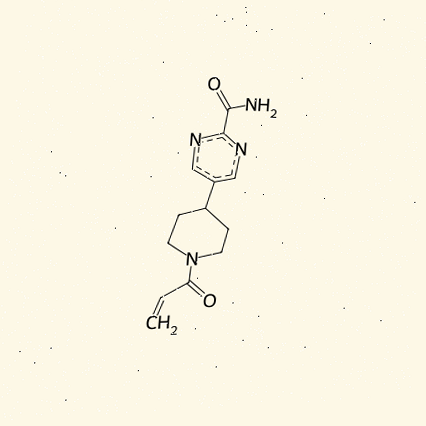 C=CC(=O)N1CCC(c2cnc(C(N)=O)nc2)CC1